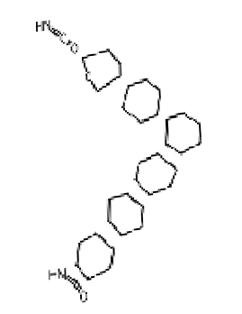 C1CCCCC1.C1CCCCC1.C1CCCCC1.C1CCCCC1.C1CCCCC1.C1CCCCC1.N=C=O.N=C=O